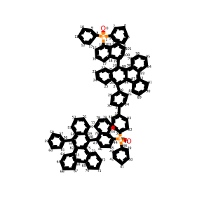 O=P(c1ccccc1)(c1ccccc1)c1cccc2c(-c3c4ccccc4c(-c4ccc(-c5ccc(P(=O)(c6ccccc6)c6ccc(-c7c8ccccc8c(-c8ccccc8)c8c9ccccc9c9ccccc9c78)c7ccccc67)cc5)cc4)c4c5ccccc5c5ccccc5c34)cccc12